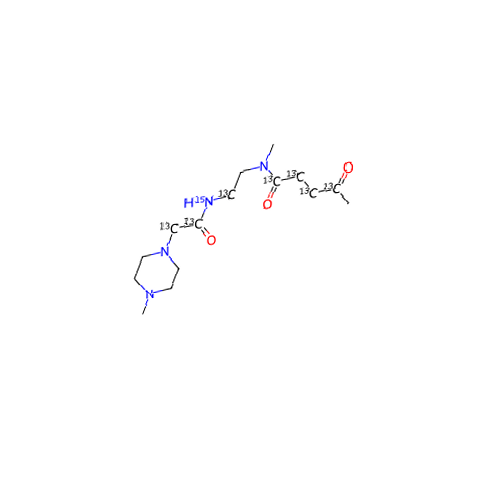 C[13C](=O)[13CH2][13CH2][13C](=O)N(C)C[13CH2][15NH][13C](=O)[13CH2]N1CCN(C)CC1